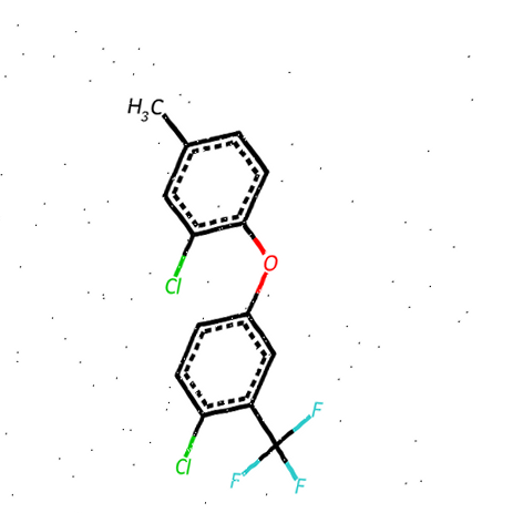 Cc1ccc(Oc2ccc(Cl)c(C(F)(F)F)c2)c(Cl)c1